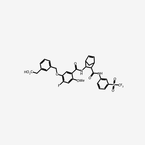 COc1cc(F)c(OCc2cccc(CC(=O)O)c2)cc1C(=O)NC1C2C=CC(C2)C1C(=O)Nc1cccc(S(=O)(=O)C(F)(F)F)c1